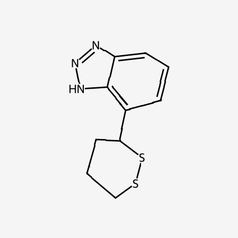 c1cc(C2CCCSS2)c2[nH]nnc2c1